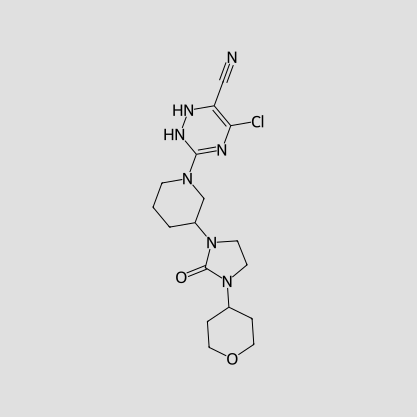 N#CC1=C(Cl)N=C(N2CCCC(N3CCN(C4CCOCC4)C3=O)C2)NN1